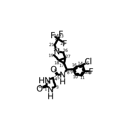 O=C1NC[C@@H](C(=O)NC(c2ccc(F)c(Cl)c2)C2C3CN(CC(F)(F)F)CC32)N1